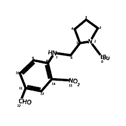 CC(C)(C)N1CCCC1CNc1ccc(C=O)cc1[N+](=O)[O-]